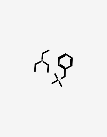 CCB(CC)CC.C[N+](C)(C)Cc1ccccc1